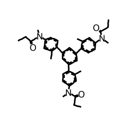 CCC(=O)N(C)c1ccc(-c2cc(-c3ccc(N(C)C(=O)CC)cc3C)cc(-c3ccc(N(C)C(=O)CC)cc3C)c2)c(C)c1